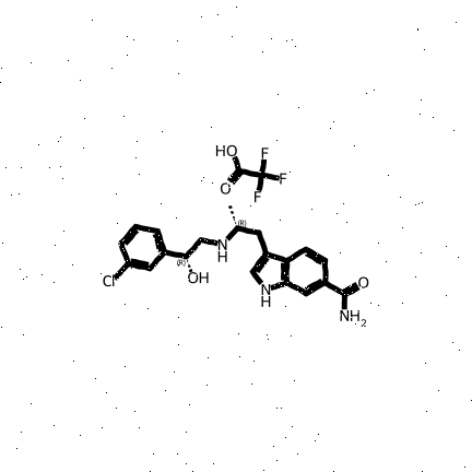 C[C@H](Cc1c[nH]c2cc(C(N)=O)ccc12)NC[C@H](O)c1cccc(Cl)c1.O=C(O)C(F)(F)F